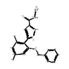 CCNC(=O)c1cc(-c2c(C)cc(C)cc2OCc2ccccc2)on1